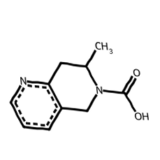 CC1Cc2ncccc2CN1C(=O)O